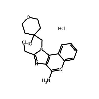 Cl.Nc1nc2ccccc2c2c1nc(CCl)n2CC1(O)CCOCC1